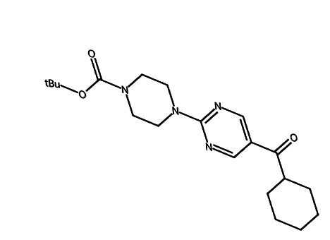 CC(C)(C)OC(=O)N1CCN(c2ncc(C(=O)C3CCCCC3)cn2)CC1